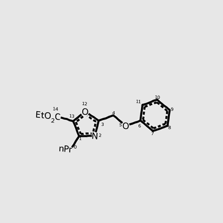 CCCc1nc(COc2ccccc2)oc1C(=O)OCC